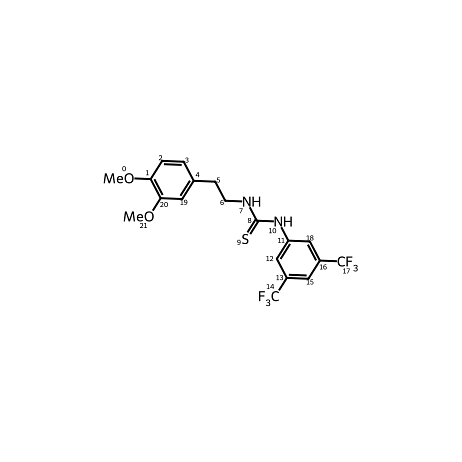 COc1ccc(CCNC(=S)Nc2cc(C(F)(F)F)cc(C(F)(F)F)c2)cc1OC